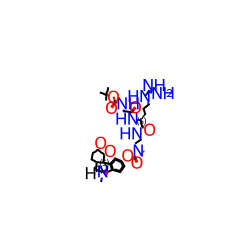 CN(CCNC(=O)[C@H](CCCNC(=N)N)NC(=O)CNC(=O)OC(C)(C)C)C(=O)Oc1ccc2c3c1OC1C(=O)CCC4[C@@H](C2)N(C)CC[C@]314